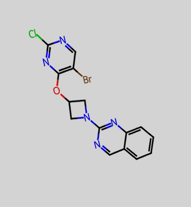 Clc1ncc(Br)c(OC2CN(c3ncc4ccccc4n3)C2)n1